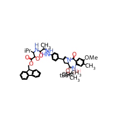 COc1cc2c(cc1C)N(BC=O)[C@@H](O[Si](C)(C)C(C)(C)C)C1CC(c3ccc(NN[C@@H](C)C(=O)NC(C(=O)C(=O)OCC4c5ccccc5-c5ccccc54)C(C)C)cc3)=CN1C2=O